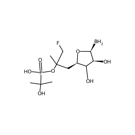 B[C@@H]1O[C@H](CC(C)(CF)OP(=O)(O)C(C)(C)O)C(O)[C@@H]1O